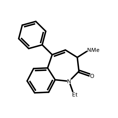 CCN1C(=O)C(NC)C=C(c2ccccc2)c2ccccc21